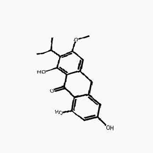 COc1cc2c(c(O)c1C(C)C)C(=O)c1c(O)cc(O)cc1C2